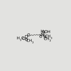 COc1ccc(OCCCCCCCCC(=O)N[C@H](CC(=O)O)CN(C)C)cc1OC